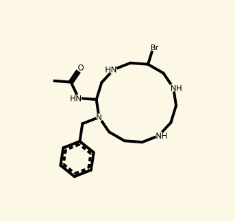 CC(=O)NC1CNCC(Br)CNCCNCCCN1Cc1ccccc1